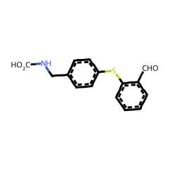 O=Cc1ccccc1Sc1ccc(CNC(=O)O)cc1